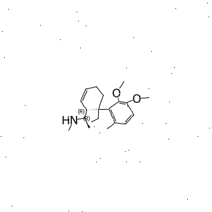 CCC1(c2c(C)ccc(OC)c2OC)CCC=C[C@H]1[C@@H](C)NC